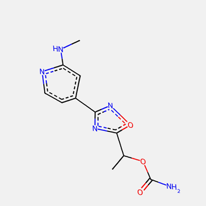 CNc1cc(-c2noc(C(C)OC(N)=O)n2)ccn1